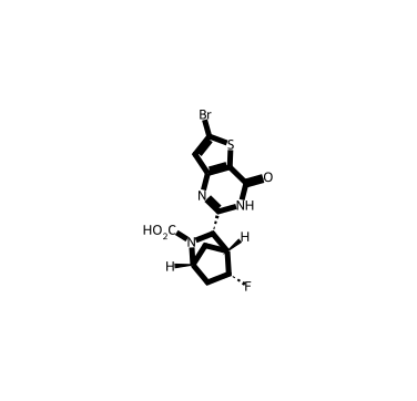 O=C(O)N1[C@@H]2C[C@@H]([C@H](F)C2)[C@H]1c1nc2cc(Br)sc2c(=O)[nH]1